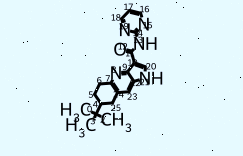 CC(C)(C)C1CCc2nc3c(C(=O)Nc4ncccn4)c[nH]c3cc2C1